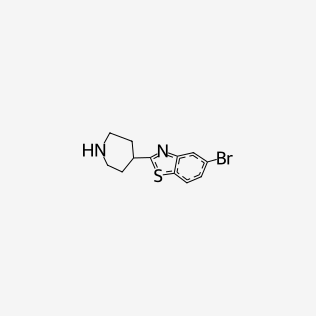 Brc1ccc2sc(C3CCNCC3)nc2c1